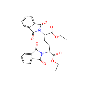 CCOC(=O)C(CCC(C(=O)OCC)N1C(=O)c2ccccc2C1=O)N1C(=O)c2ccccc2C1=O